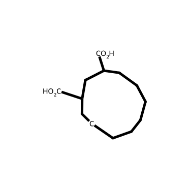 O=C(O)C1CCCCCCCCC(C(=O)O)C1